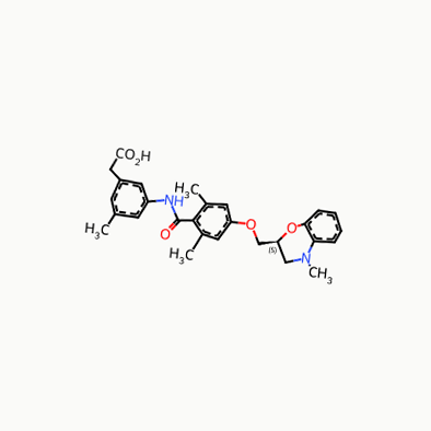 Cc1cc(CC(=O)O)cc(NC(=O)c2c(C)cc(OC[C@@H]3CN(C)c4ccccc4O3)cc2C)c1